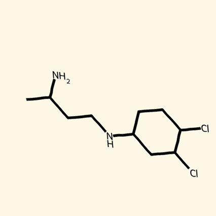 CC(N)CCNC1CCC(Cl)C(Cl)C1